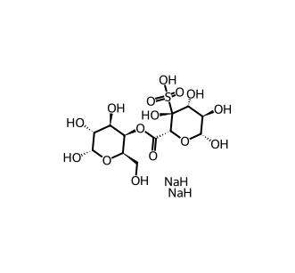 O=C(O[C@@H]1[C@H](O)[C@@H](O)[C@@H](O)O[C@@H]1CO)[C@H]1O[C@@H](O)[C@H](O)[C@@H](O)[C@@]1(O)S(=O)(=O)O.[NaH].[NaH]